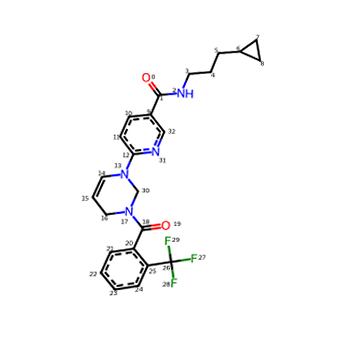 O=C(NCCCC1CC1)c1ccc(N2C=CCN(C(=O)c3ccccc3C(F)(F)F)C2)nc1